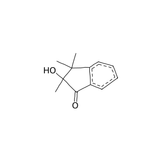 CC1(O)C(=O)c2ccccc2C1(C)C